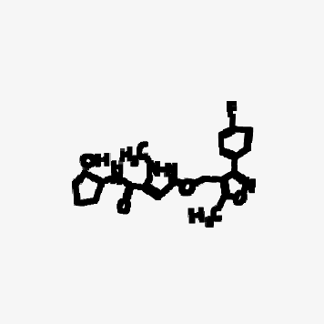 Cc1onc(-c2ccc(F)cc2)c1COc1cc(C(=O)N[C@H]2CCC[C@@H]2O)n(C)n1